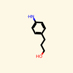 [NH]c1ccc(CCCO)cc1